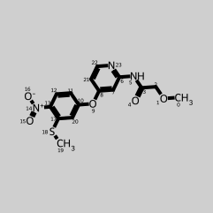 COCC(=O)Nc1cc(Oc2ccc([N+](=O)[O-])c(SC)c2)ccn1